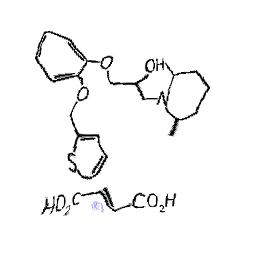 CC1CCCC(C)N1CC(O)COc1ccccc1OCc1cccs1.O=C(O)/C=C/C(=O)O